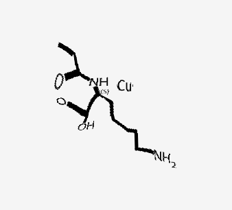 C=CC(=O)N[C@@H](CCCCN)C(=O)O.[Cu]